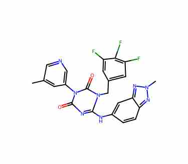 Cc1cncc(-n2c(=O)nc(Nc3ccc4nn(C)nc4c3)n(Cc3cc(F)c(F)c(F)c3)c2=O)c1